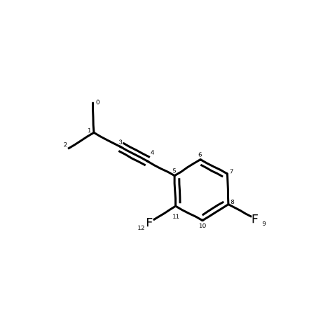 CC(C)C#Cc1ccc(F)cc1F